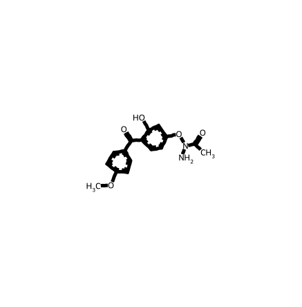 COc1ccc(C(=O)c2ccc(ON(N)C(C)=O)cc2O)cc1